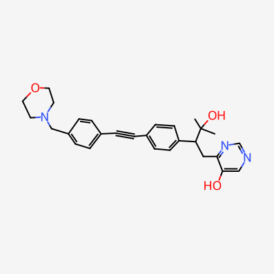 CC(C)(O)C(Cc1ncncc1O)c1ccc(C#Cc2ccc(CN3CCOCC3)cc2)cc1